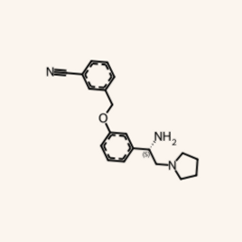 N#Cc1cccc(COc2cccc([C@H](N)CN3CCCC3)c2)c1